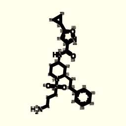 NCCCS(=O)(=O)N1CC[C@@H](NC(=O)c2cc(C3CC3)on2)C[C@H]1CCc1ccccc1